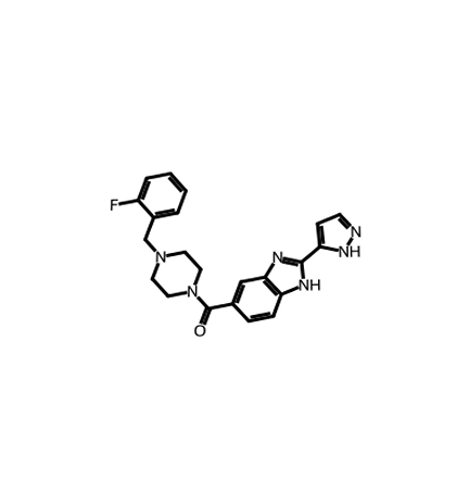 O=C(c1ccc2[nH]c(-c3ccn[nH]3)nc2c1)N1CCN(Cc2ccccc2F)CC1